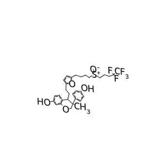 CC1(c2ccc(O)cc2)COc2cc(O)ccc2C1CCc1ccc(CCCC[S+]([O-])CCCC(F)(F)C(F)(F)F)o1